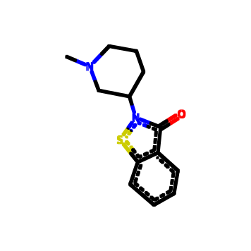 CN1CCCC(n2sc3ccccc3c2=O)C1